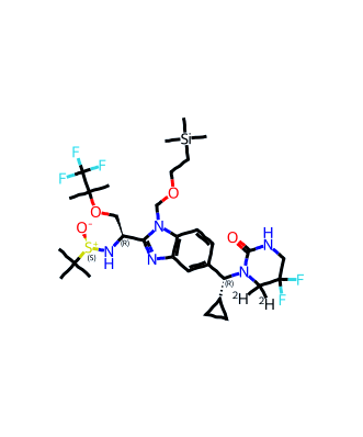 [2H]C1([2H])N([C@@H](c2ccc3c(c2)nc([C@H](COC(C)(C)C(F)(F)F)N[S@+]([O-])C(C)(C)C)n3COCC[Si](C)(C)C)C2CC2)C(=O)NCC1(F)F